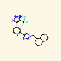 FC(F)(F)c1[nH]nnc1-c1ccnc(-c2cn(CC3CCCC4C=CC=CC43)cn2)c1